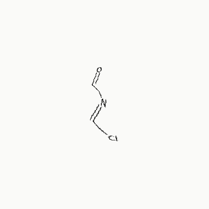 O=CN=CCl